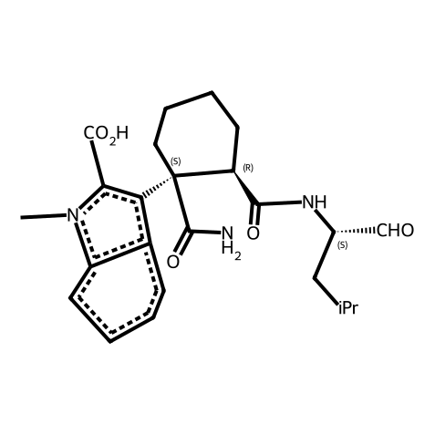 CC(C)C[C@@H](C=O)NC(=O)[C@@H]1CCCC[C@@]1(C(N)=O)c1c(C(=O)O)n(C)c2ccccc12